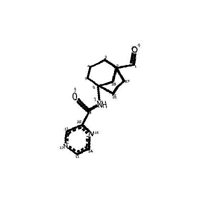 O=CC12CCCC(NC(=O)c3cnccn3)(CC1)C2